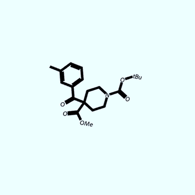 COC(=O)C1(C(=O)c2cccc(C)c2)CCN(C(=O)OC(C)(C)C)CC1